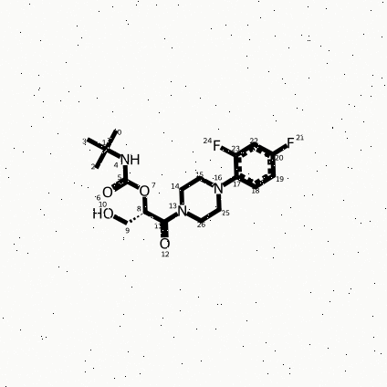 CC(C)(C)NC(=O)O[C@@H](CO)C(=O)N1CCN(c2ccc(F)cc2F)CC1